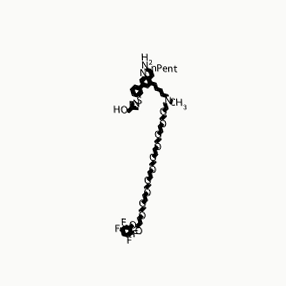 CCCCCc1cc2c(CCCCCN(C)CCOCCOCCOCCOCCOCCOCCOCCOCCOCCOCCC(=O)Oc3c(F)c(F)cc(F)c3F)cc(-c3cccc(SN4CC(CO)C4)c3)cc2nc1N